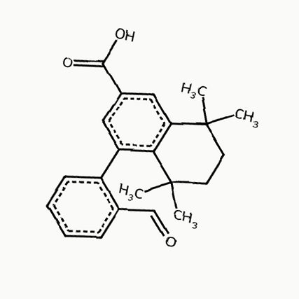 CC1(C)CCC(C)(C)c2c(-c3ccccc3C=O)cc(C(=O)O)cc21